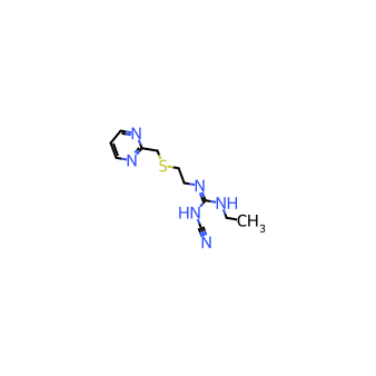 CCNC(=NCCSCc1ncccn1)NC#N